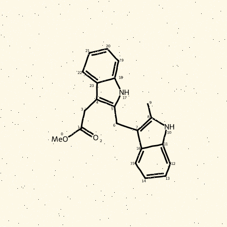 COC(=O)Cc1c(Cc2c(C)[nH]c3ccccc23)[nH]c2ccccc12